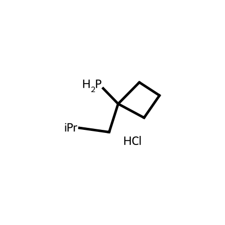 CC(C)CC1(P)CCC1.Cl